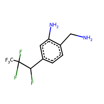 NCc1ccc(C(F)C(F)(F)C(F)(F)F)cc1N